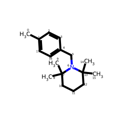 Cc1ccc(CN2C(C)(C)CCCC2(C)C)cc1